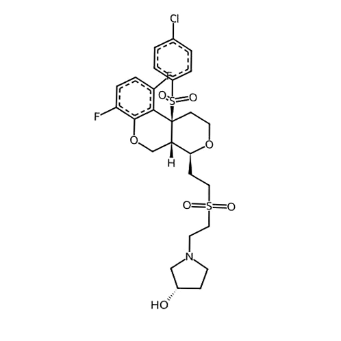 O=S(=O)(CC[C@@H]1OCC[C@@]2(S(=O)(=O)c3ccc(Cl)cc3)c3c(F)ccc(F)c3OC[C@@H]12)CCN1CC[C@H](O)C1